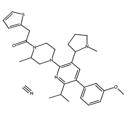 C#N.COc1cccc(-c2cc(C3CCCN3C)c(N3CCN(C(=O)Cc4cccs4)C(C)C3)nc2C(C)C)c1